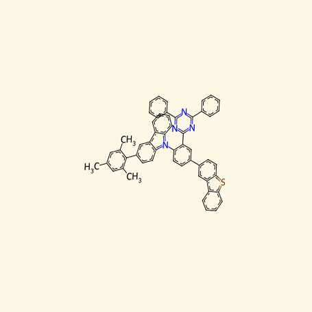 Cc1cc(C)c(-c2ccc3c(c2)c2ccccc2n3-c2ccc(-c3ccc4sc5ccccc5c4c3)cc2-c2nc(-c3ccccc3)nc(-c3ccccc3)n2)c(C)c1